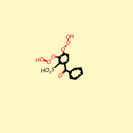 O=C(c1ccccc1)c1ccc(OOO)c(OOO)c1S(=O)(=O)O